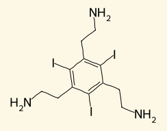 NCCc1c(I)c(CCN)c(I)c(CCN)c1I